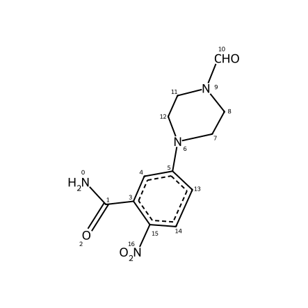 NC(=O)c1cc(N2CCN(C=O)CC2)ccc1[N+](=O)[O-]